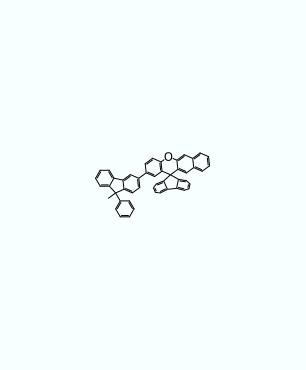 CC1(c2ccccc2)c2ccccc2-c2cc(-c3ccc4c(c3)C3(c5cc6ccccc6cc5O4)c4ccccc4-c4ccccc43)ccc21